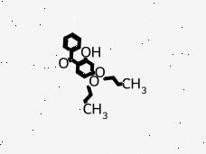 CCCCOC1(OCCCC)C=CC(C(=O)c2ccccc2)=C(O)C1